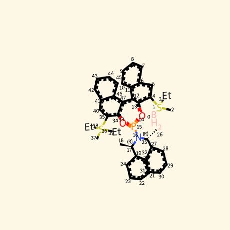 BS(C)(CC)c1cc2ccccc2c2c1op(N([C@H](C)c1ccccc1)[C@H](C)c1ccccc1)oc1c(S(C)(CC)CC)cc3ccccc3c12